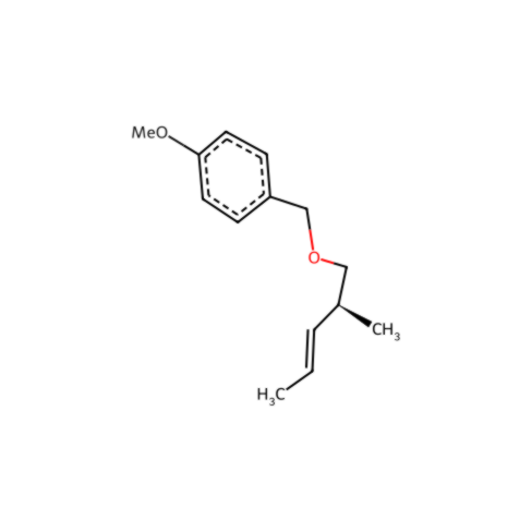 CC=C[C@H](C)COCc1ccc(OC)cc1